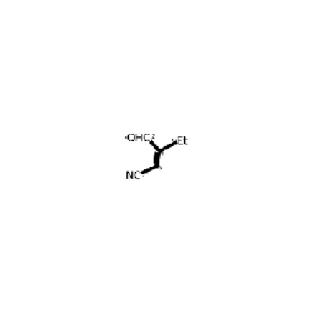 CCC([C]=O)=CC#N